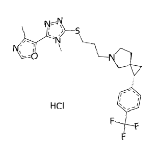 Cc1ncoc1-c1nnc(SCCCN2CC[C@]3(C[C@@H]3c3ccc(C(F)(F)F)cc3)C2)n1C.Cl